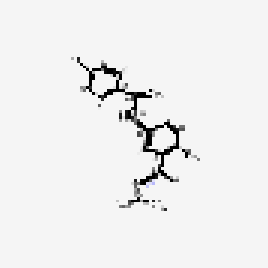 C/C(=N\[S+]([O-])C(C)(C)C)c1cc(NC(=O)c2ccc(F)cn2)ccc1F